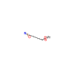 CCCOC(=O)C/C=C\CCCCCCCCCCCC(=O)CSCCN(C)C